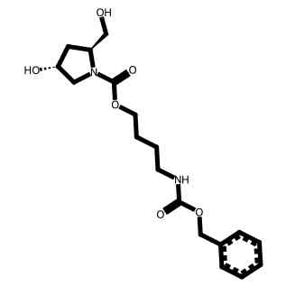 O=C(NCCCCOC(=O)N1C[C@H](O)C[C@H]1CO)OCc1ccccc1